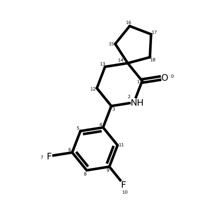 O=C1NC(c2cc(F)cc(F)c2)CCC12CCCC2